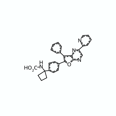 O=C(O)NC1(c2ccc(-c3oc4ncc(-c5ccccn5)nc4c3-c3ccccc3)cc2)CCC1